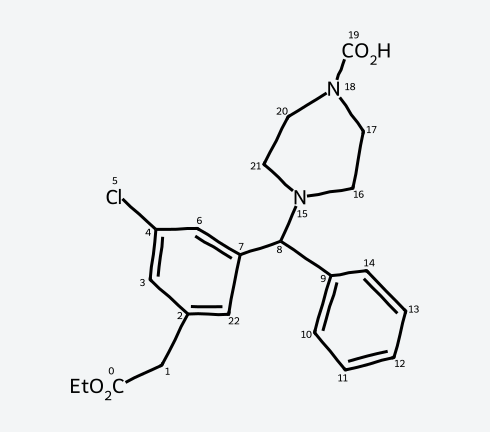 CCOC(=O)Cc1cc(Cl)cc(C(c2ccccc2)N2CCN(C(=O)O)CC2)c1